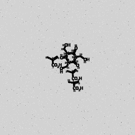 C=C(C)C(=O)O.C=C(C)C(=O)O.C=C(C)C(=O)O.O=c1n(CO)c(=O)n(CO)c(=O)n1CO